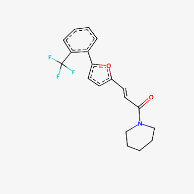 O=C(/C=C/c1ccc(-c2ccccc2C(F)(F)F)o1)N1CCCCC1